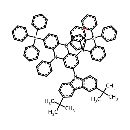 CC(C)(C)c1ccc2c(c1)c1cc(C(C)(C)C)ccc1n2-c1cc2c3c(c1)N(c1ccccc1[Si](c1ccccc1)(c1ccccc1)c1ccccc1)c1ccccc1B3c1ccc([Si](c3ccccc3)(c3ccccc3)c3ccccc3)cc1N2c1ccccc1